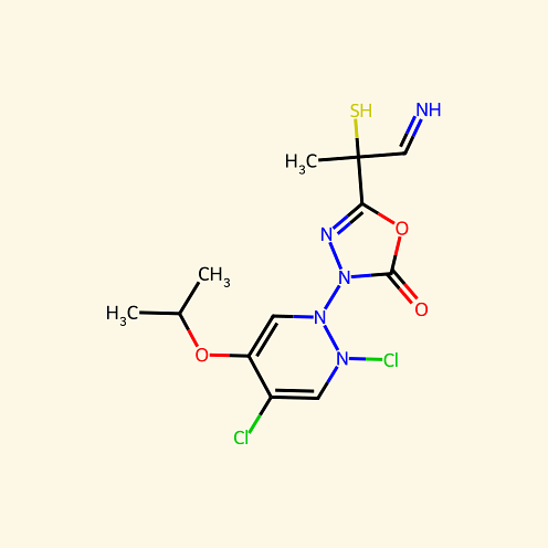 CC(C)OC1=CN(n2nc(C(C)(S)C=N)oc2=O)N(Cl)C=C1Cl